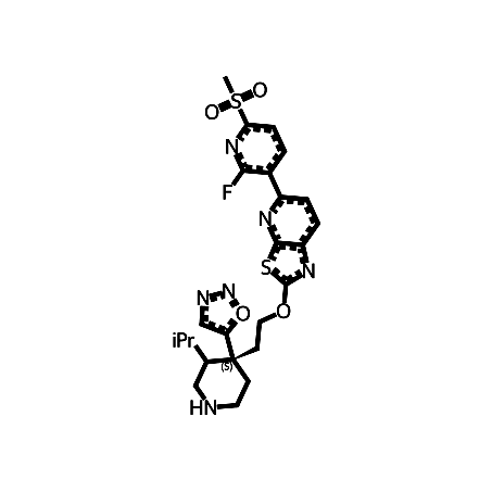 CC(C)C1CNCC[C@@]1(CCOc1nc2ccc(-c3ccc(S(C)(=O)=O)nc3F)nc2s1)c1cnno1